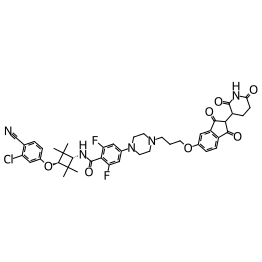 CC1(C)[C@H](NC(=O)c2c(F)cc(N3CCN(CCCOc4ccc5c(c4)C(=O)C(C4CCC(=O)NC4=O)C5=O)CC3)cc2F)C(C)(C)[C@H]1Oc1ccc(C#N)c(Cl)c1